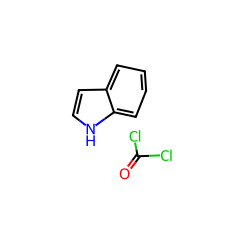 O=C(Cl)Cl.c1ccc2[nH]ccc2c1